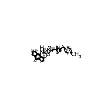 CN1CCN(Cc2csc(/C=C/S(=O)(=O)NC(=O)Nc3c4c(cc5c3CCC5)CCC4)n2)CC1